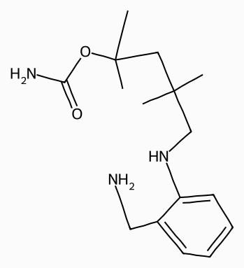 CC(C)(CNc1ccccc1CN)CC(C)(C)OC(N)=O